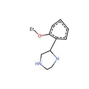 CCOc1ccccc1C1CNCC[N]1